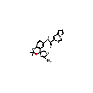 CC1(C)Oc2ccc(NC(=O)c3cc4cccn4cn3)cc2C2(COC(N)=N2)C12COC2